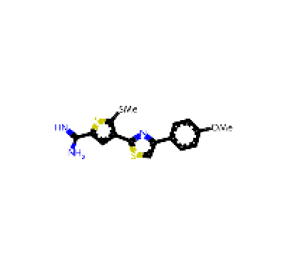 COc1ccc(-c2csc(-c3cc(C(=N)N)sc3SC)n2)cc1